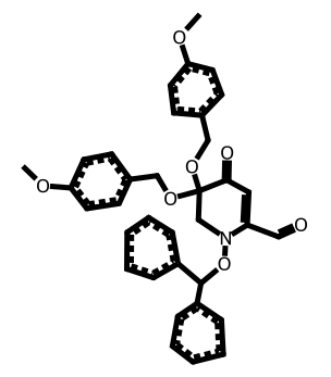 COc1ccc(COC2(OCc3ccc(OC)cc3)CN(OC(c3ccccc3)c3ccccc3)C(C=O)=CC2=O)cc1